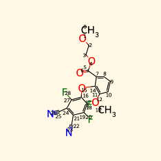 COCCOC(=O)c1cccc(OC)c1Oc1c(F)c(F)c(C#N)c(C#N)c1F